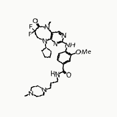 COc1cc(C(=O)NCCCN2CCN(C)CC2)ccc1Nc1ncc2c(n1)N(C1CCCC1)CC(F)(F)C(=O)N2C